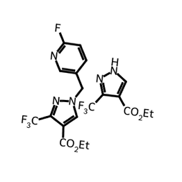 CCOC(=O)c1c[nH]nc1C(F)(F)F.CCOC(=O)c1cn(Cc2ccc(F)nc2)nc1C(F)(F)F